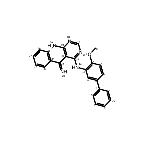 COc1ccc(-c2ccccc2)cc1Nc1ncnc(N)c1C(=N)c1ccccc1